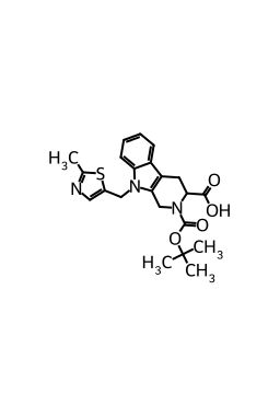 Cc1ncc(Cn2c3c(c4ccccc42)CC(C(=O)O)N(C(=O)OC(C)(C)C)C3)s1